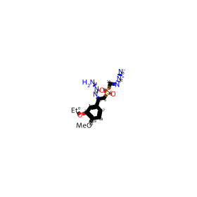 CCOc1cc(C(CS(=O)(=O)CN=[N+]=[N-])N=NN)ccc1OC